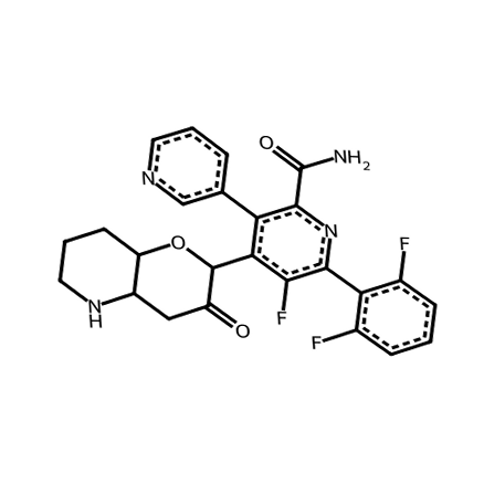 NC(=O)c1nc(-c2c(F)cccc2F)c(F)c(C2OC3CCCNC3CC2=O)c1-c1cccnc1